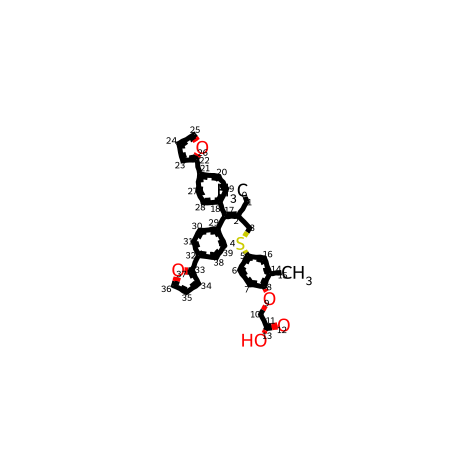 CCC(CSc1ccc(OCC(=O)O)c(C)c1)=C(c1ccc(-c2ccco2)cc1)c1ccc(-c2ccco2)cc1